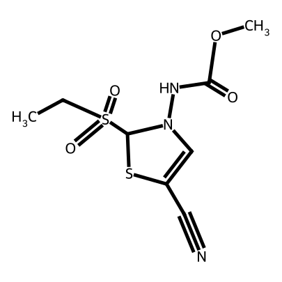 CCS(=O)(=O)C1SC(C#N)=CN1NC(=O)OC